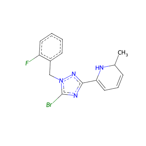 CC1C=CC=C(c2nc(Br)n(Cc3ccccc3F)n2)N1